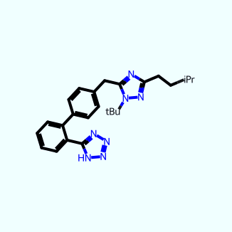 CC(C)CCc1nc(Cc2ccc(-c3ccccc3-c3nnn[nH]3)cc2)n(C(C)(C)C)n1